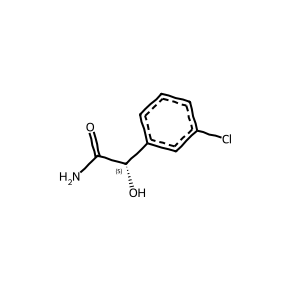 NC(=O)[C@@H](O)c1cccc(Cl)c1